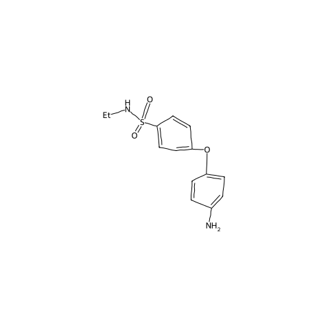 CCNS(=O)(=O)c1ccc(Oc2ccc(N)cc2)cc1